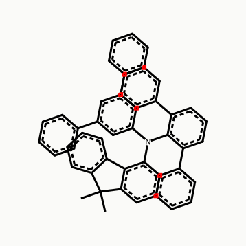 CC1(C)c2ccccc2-c2c(N(c3cc(-c4ccccc4)cc(-c4ccccc4)c3)c3c(-c4ccccc4)cccc3-c3ccccc3)cccc21